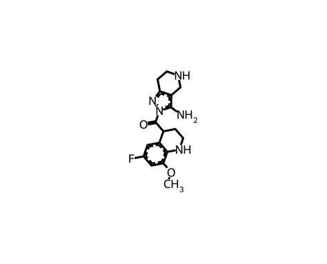 COc1cc(F)cc2c1NCCC2C(=O)n1nc2c(c1N)CNCC2